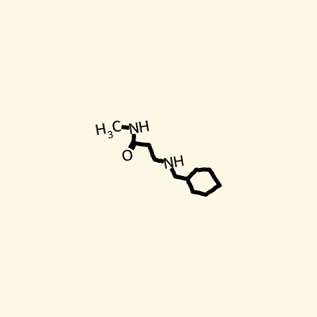 CNC(=O)CCNCC1CCCCC1